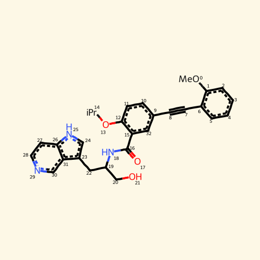 COc1ccccc1C#Cc1ccc(OC(C)C)c(C(=O)NC(CO)Cc2c[nH]c3ccncc23)c1